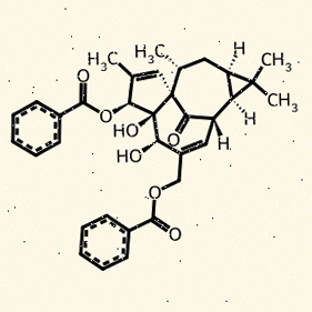 CC1=C[C@]23C(=O)[C@@H](C=C(COC(=O)c4ccccc4)[C@@H](O)[C@]2(O)[C@H]1OC(=O)c1ccccc1)[C@H]1[C@@H](C[C@H]3C)C1(C)C